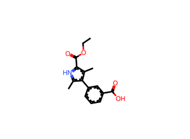 CCOC(=O)c1[nH]c(C)c(-c2cccc(C(=O)O)c2)c1C